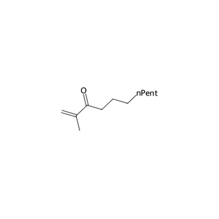 C=C(C)C(=O)CCCC[CH]CCC